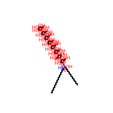 CCCCCCCCCCCCC/C=C/[C@@H](O)[C@H](CO[C@@H]1OC(CO)[C@@H](O[C@@H]2OC(CO)[C@H](O[C@@H]3OC(CO)[C@H](O)[C@H](O[C@H]4OC(CO)[C@H](O)[C@H](O[C@H]5OC(CO)[C@H](O)[C@H](O[C@H]6OC(CO)[C@H](O)[C@H](O[C@H]7OC(CO)[C@H](O)[C@H](O[C@H]8OC(CO)[C@H](O)[C@H](O)C8O)C7O)C6O)C5O)C4O)C3O)[C@H](O)C2O)[C@H](O)C1O)NC(=O)CCCCCCCCCCCCCCCCCCC